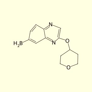 Bc1ccc2ncc(OC3CCOCC3)nc2c1